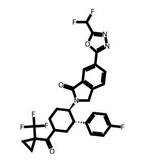 O=C1c2cc(-c3nnc(C(F)F)o3)ccc2CN1[C@@H]1CCC(C(=O)C2(C(F)(F)F)CC2)C[C@H]1c1ccc(F)cc1